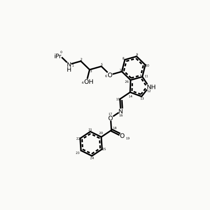 CC(C)NCC(O)COc1cccc2[nH]cc(C=NOC(=O)c3ccccc3)c12